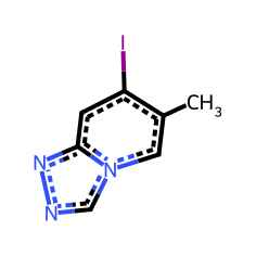 Cc1cn2cnnc2cc1I